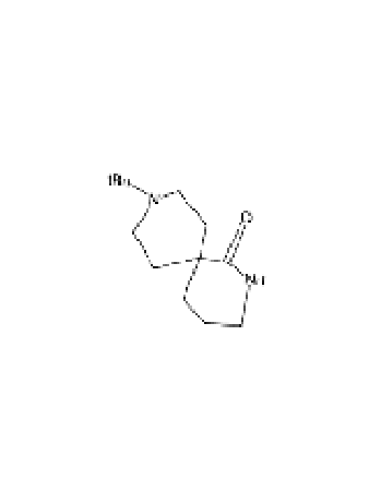 CC(C)(C)N1CCC2(CCCNC2=O)CC1